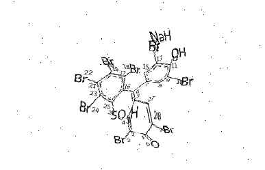 O=C1C(Br)=CC(=C(c2cc(Br)c(O)c(Br)c2)c2c(Br)c(Br)c(Br)c(Br)c2S(=O)(=O)O)C=C1Br.[NaH]